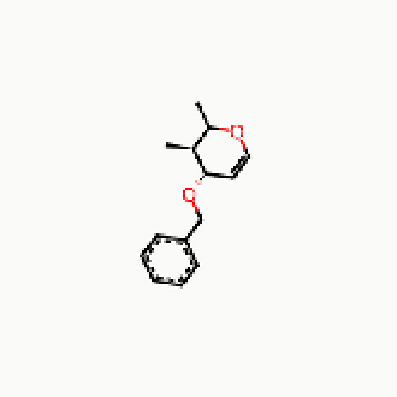 CC1OC=C[C@H](OCc2ccccc2)[C@H]1C